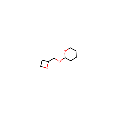 C1CCC(OCC2CCO2)OC1